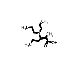 CCCC(=C(C)C(=O)O)N(CCC)CCC